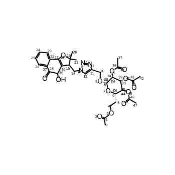 CC(=O)OCC[C@@H]1O[C@H](OCc2cn(CC3C4=C(OC3(C)C)c3ccccc3C(=O)C4O)nn2)[C@@H](OC(C)=O)[C@H](OC(C)=O)[C@H]1OC(C)=O